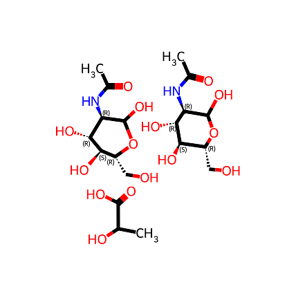 CC(=O)N[C@H]1C(O)O[C@H](CO)[C@@H](O)[C@@H]1O.CC(=O)N[C@H]1C(O)O[C@H](CO)[C@@H](O)[C@@H]1O.CC(O)C(=O)O